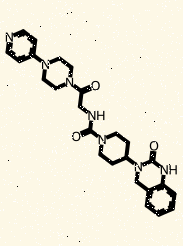 O=C(CNC(=O)N1CCC(N2Cc3ccccc3NC2=O)CC1)N1CCN(c2ccncc2)CC1